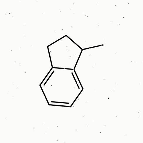 CC1CCc2cc[c]cc21